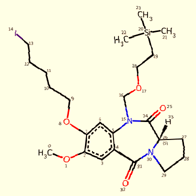 COc1cc2c(cc1OCCCCCI)N(COCC[Si](C)(C)C)C(=O)[C@@H]1CCCN1C2=O